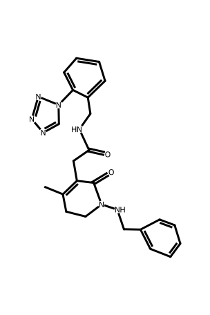 CC1=C(CC(=O)NCc2ccccc2-n2cnnn2)C(=O)N(NCc2ccccc2)CC1